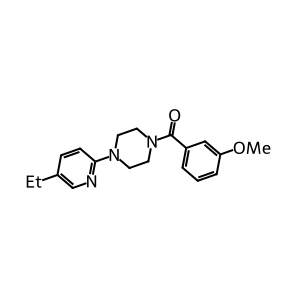 CCc1ccc(N2CCN(C(=O)c3cccc(OC)c3)CC2)nc1